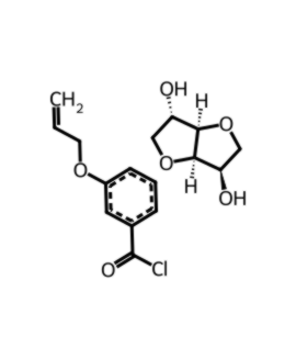 C=CCOc1cccc(C(=O)Cl)c1.O[C@@H]1CO[C@H]2[C@@H]1OC[C@@H]2O